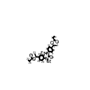 C=CC(=O)OC(C)c1ccc(N(CC)C(=O)N(CC)c2ccc(C(C)OC(=O)C=C)cc2)cc1